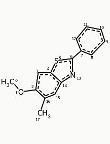 COc1cc2sc(-c3ccccc3)nc2cc1C